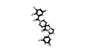 O=C(c1cc(F)cc(F)c1F)N1CCC2(CC1)CN1CC[C@@H](c3cc(F)cc(F)c3)N1C2=O